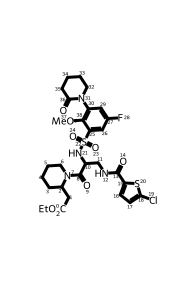 CCOC(=O)CC1CCCCN1C(=O)C(CNC(=O)c1ccc(Cl)s1)NS(=O)(=O)c1cc(F)cc(N2CCCCC2=O)c1OC